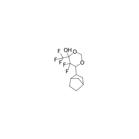 OC1(C(F)(F)F)OCOC(C2CC3CCC2C3)C1(F)F